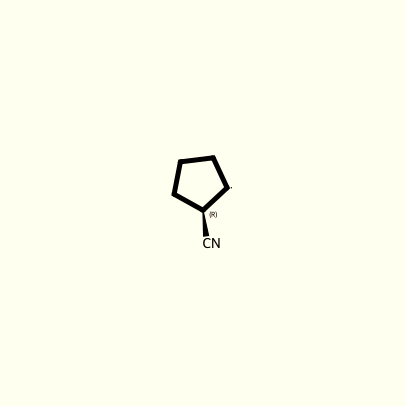 N#C[C@@H]1[CH]CCC1